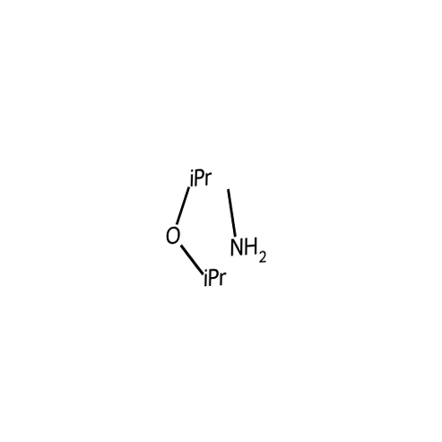 CC(C)OC(C)C.CN